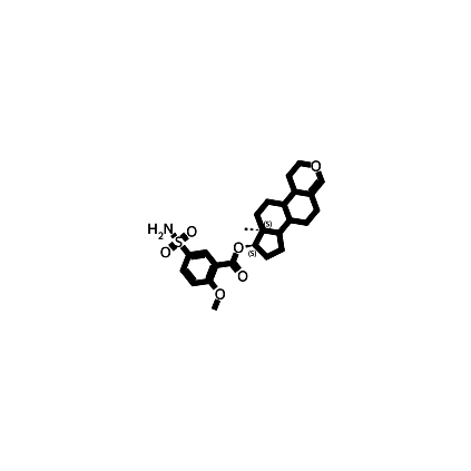 COc1ccc(S(N)(=O)=O)cc1C(=O)O[C@H]1CCC2C3CCC4=COCCC4C3CC[C@@]21C